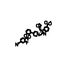 COC(=O)c1ccc2nc(CN3CC=C(c4cccc5c4OC(C)(c4ccc(C#N)cc4F)O5)CC3)n(C[C@@H]3CCO3)c2c1